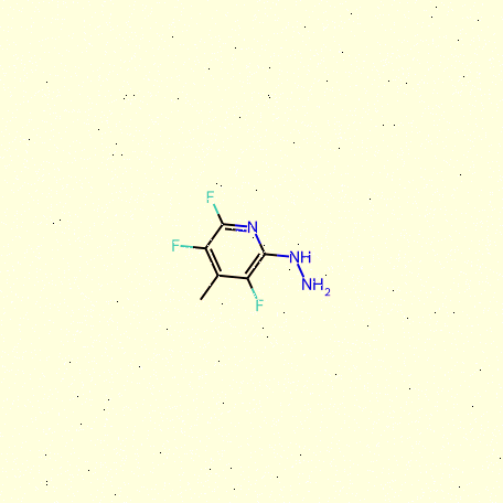 Cc1c(F)c(F)nc(NN)c1F